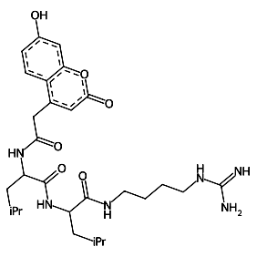 CC(C)CC(NC(=O)Cc1cc(=O)oc2cc(O)ccc12)C(=O)NC(CC(C)C)C(=O)NCCCCNC(=N)N